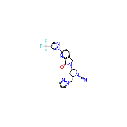 N#CN1C[C@H](N2Cc3ccc(-n4cc(C(F)(F)F)cn4)nc3C2=O)C[C@H]1Cn1cccn1